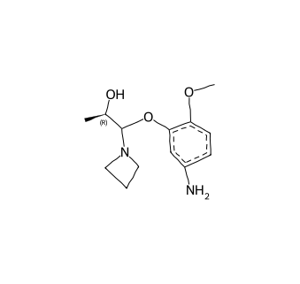 COc1ccc(N)cc1OC([C@@H](C)O)N1CCC1